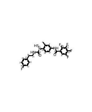 Cc1cc(NC(=O)c2cc(F)c(F)c(F)c2F)ccc1N(S)C(=O)NCCc1ccc(F)cc1